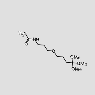 COC(CCCOCCCNC(N)=O)(OC)OC